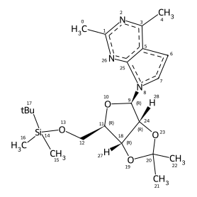 Cc1nc(C)c2ccn([C@@H]3O[C@H](CO[Si](C)(C)C(C)(C)C)[C@H]4OC(C)(C)O[C@H]43)c2n1